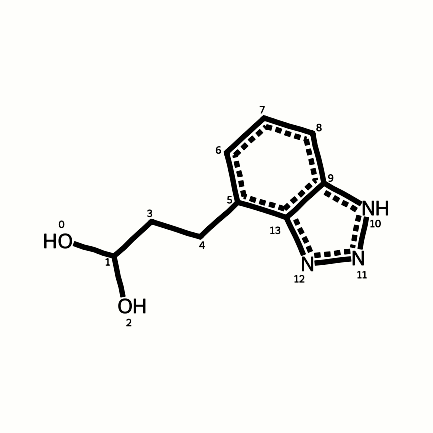 OC(O)CCc1cccc2[nH]nnc12